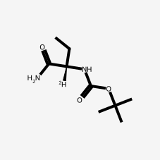 [2H][C@@](CC)(NC(=O)OC(C)(C)C)C(N)=O